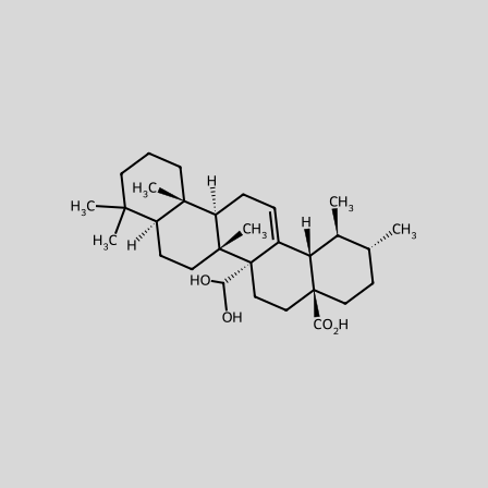 C[C@H]1[C@H](C)CC[C@]2(C(=O)O)CC[C@]3(C(O)O)C(=CC[C@@H]4[C@@]5(C)CCCC(C)(C)[C@@H]5CC[C@]43C)[C@H]12